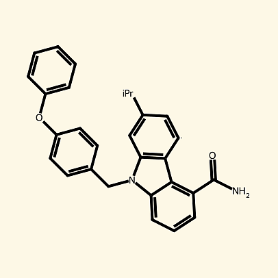 CC(C)c1c[c]c2c3c(C(N)=O)cccc3n(Cc3ccc(Oc4ccccc4)cc3)c2c1